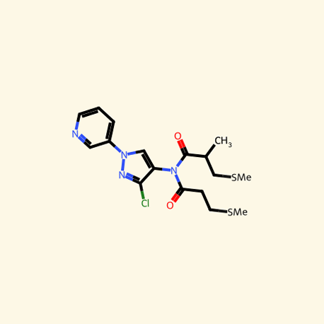 CSCCC(=O)N(C(=O)C(C)CSC)c1cn(-c2cccnc2)nc1Cl